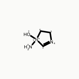 N[N+]1(O)C=NCC1